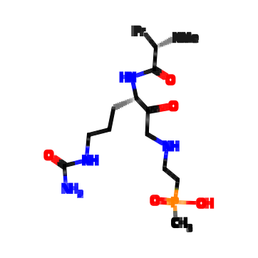 CN[C@H](C(=O)N[C@@H](CCCNC(N)=O)C(=O)CNCCP(C)(=O)O)C(C)C